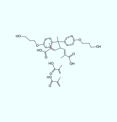 C=C(C)C(=O)O.C=C(C)C(=O)O.CC(=CC(C=C(C)C(=O)O)C(C)(c1ccc(OCCCO)cc1)c1ccc(OCCCO)cc1)C(=O)O